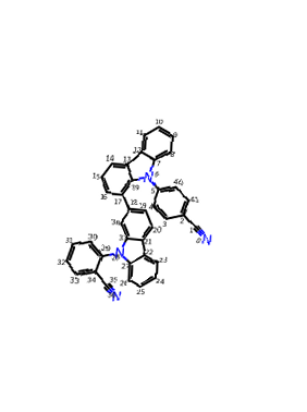 N#Cc1ccc(-n2c3ccccc3c3cccc(-c4ccc5c6ccccc6n(-c6ccccc6C#N)c5c4)c32)cc1